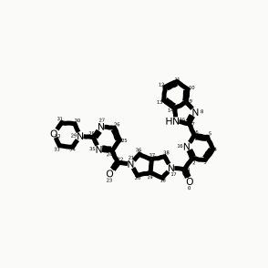 O=C(c1cccc(-c2nc3ccccc3[nH]2)n1)N1CC2CN(C(=O)c3ccnc(N4CCOCC4)n3)CC2C1